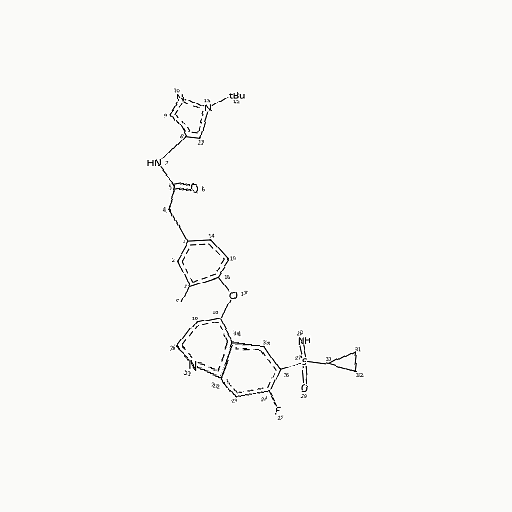 Cc1cc(CC(=O)Nc2cnn(C(C)(C)C)c2)ccc1Oc1ccnc2cc(F)c(S(=N)(=O)C3CC3)cc12